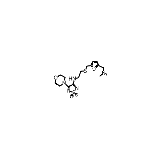 CN(C)Cc1ccc(CSCCNC2=NS(=O)(=O)N=C2N2CCOCC2)o1